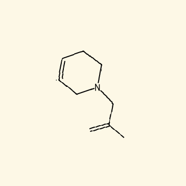 C=C(C)CN1C[C]=CCC1